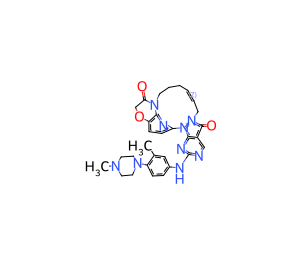 Cc1cc(Nc2ncc3c(=O)n4n(c3n2)-c2ccc3c(n2)N(CCC/C=C\C4)C(=O)CO3)ccc1N1CCN(C)CC1